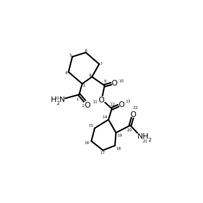 NC(=O)C1CCCCC1C(=O)OC(=O)C1CCCCC1C(N)=O